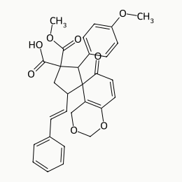 COC(=O)C1(C(=O)O)CC(/C=C/c2ccccc2)C2(C(=O)C=CC3=C2COCO3)C1c1ccc(OC)cc1